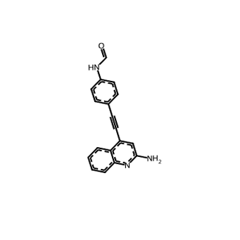 Nc1cc(C#Cc2ccc(NC=O)cc2)c2ccccc2n1